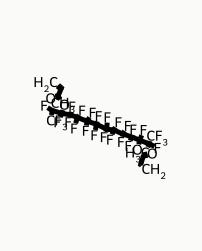 C=CC(=O)OC(F)(C(C)(F)C(F)(F)F)C(F)(F)C(F)(F)C(F)(F)C(F)(F)C(F)(F)C(F)(F)C(F)(F)C(F)(F)C(F)(OC(=O)C=C)C(C)(F)C(F)(F)F